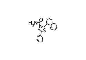 NC(=O)N1C=C(c2ccccc2)SC1c1cccc2ccccc12